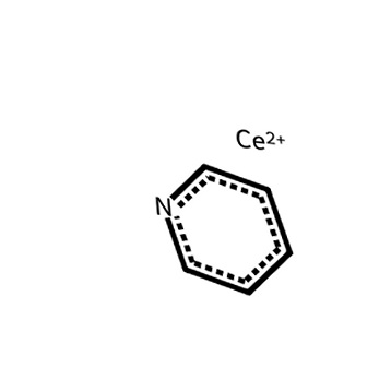 [Ce+2].c1ccncc1